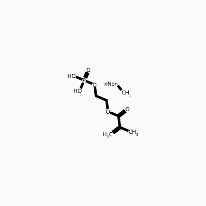 C=C(C)C(=O)OCCOP(=O)(O)O.CCCCCCCCCC